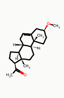 CO[C@H]1CC[C@@]2(C)C(=CC[C@H]3[C@@H]4CC[C@H](C(C)=O)[C@@]4(C)CC[C@@H]32)C1